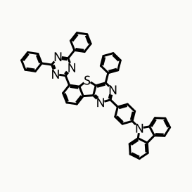 c1ccc(-c2nc(-c3ccccc3)nc(-c3cccc4c3sc3c(-c5ccccc5)nc(-c5ccc(-n6c7ccccc7c7ccccc76)cc5)nc34)n2)cc1